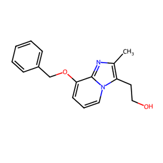 Cc1nc2c(OCc3ccccc3)cccn2c1CCO